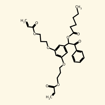 C=CC(=O)OCCCOc1cc(OCCCOC(=O)C=C)cc(C(OC(=O)CCCCC)C(=O)c2ccccc2)c1